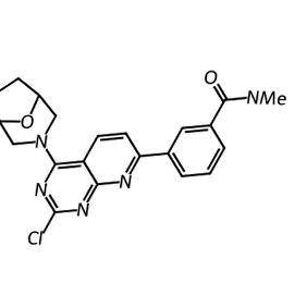 CNC(=O)c1cccc(-c2ccc3c(N4CC5CCC(C4)O5)nc(Cl)nc3n2)c1